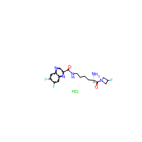 Cl.N[C@@H](CCCCNC(=O)c1cnc2cc(F)c(F)cc2n1)C(=O)N1CC(F)C1